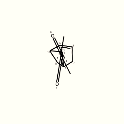 O=C1C=CC(=O)C23CC=CC(C2)C13